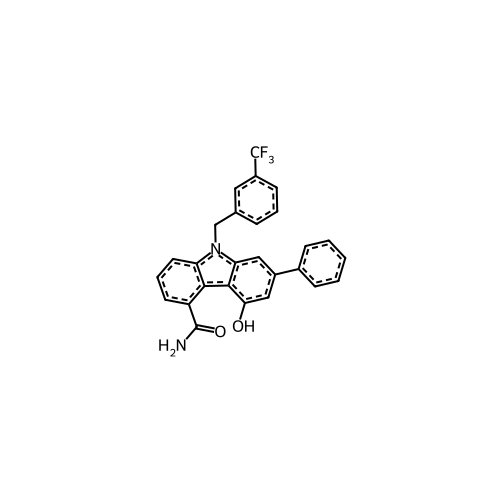 NC(=O)c1cccc2c1c1c(O)cc(-c3ccccc3)cc1n2Cc1cccc(C(F)(F)F)c1